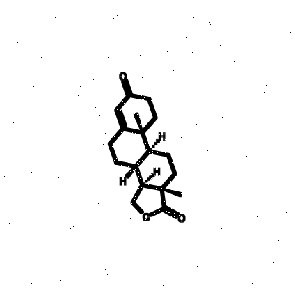 C[C@]12CCC(=O)C=C1CC[C@@H]1[C@@H]2CC[C@]2(C)C(=O)OC[C@@H]12